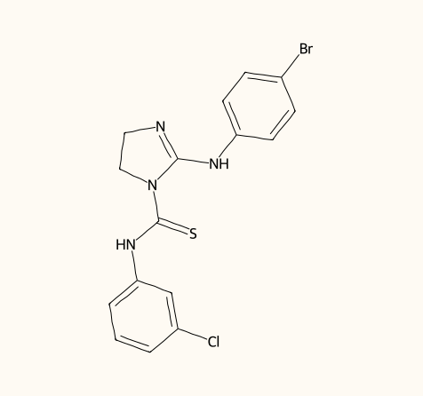 S=C(Nc1cccc(Cl)c1)N1CCN=C1Nc1ccc(Br)cc1